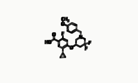 COc1ccc(CN2CC(Oc3cc(F)c(C(=O)O)cc3C3CC3)CC(F)(F)C2)cc1